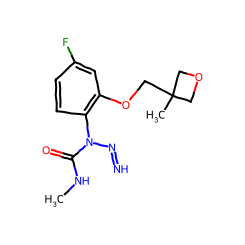 CNC(=O)N(N=N)c1ccc(F)cc1OCC1(C)COC1